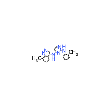 Cc1ccccc1Nc1nccc(Nc2cnnc3c(C)cccc23)n1